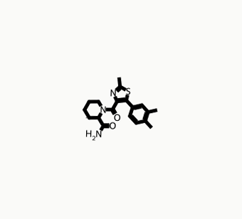 Cc1nc(C(=O)N2CCC[CH]C2C(N)=O)c(-c2ccc(C)c(C)c2)s1